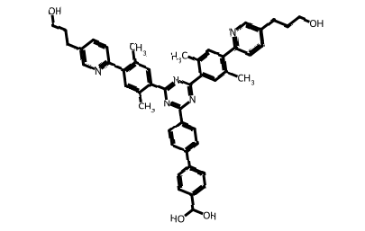 Cc1cc(-c2nc(-c3ccc(-c4ccc(C(O)O)cc4)cc3)nc(-c3cc(C)c(-c4ccc(CCCO)cn4)cc3C)n2)c(C)cc1-c1ccc(CCCO)cn1